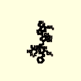 CC[C@H](NP(=O)(N[C@@H](CC)C(=S)OC1CCCCC1)OC[C@H]1O[C@@H](n2cnc3c(OC)nc(N)nc32)[C@](C)(O)[C@@H]1O)C(O)=S